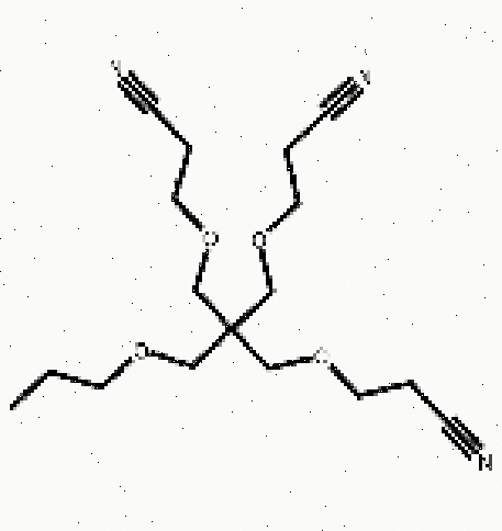 CCCOCC(COCCC#N)(COCCC#N)COCCC#N